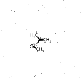 C=C(C)C.CCl